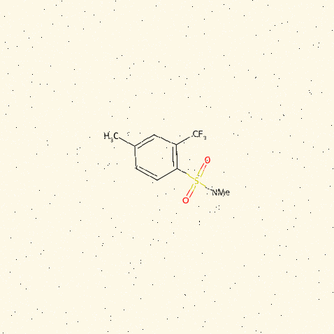 CNS(=O)(=O)c1ccc(C)cc1C(F)(F)F